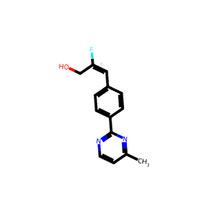 Cc1ccnc(-c2ccc(/C=C(/F)CO)cc2)n1